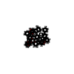 N#Cc1c(-n2c3ccccc3c3ccc(-c4ccccc4)cc32)c(-n2c3ccccc3c3ccc(-c4ccccc4)cc32)c(-c2ccc3c(c2)oc2ccncc23)c(-n2c3ccccc3c3ccc(-c4ccccc4)cc32)c1-n1c2ccccc2c2ccc(-c3ccccc3)cc21